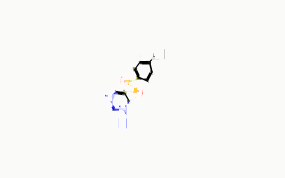 Cc1ccc(S(=O)(=O)C2=CN=CNC2)cc1